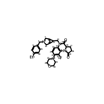 CCc1ccc(CN2CC3C(C2)C3CN(C(=O)C2CCC(=O)N2)c2ccc(N3CCOCC3)c(F)c2)cc1